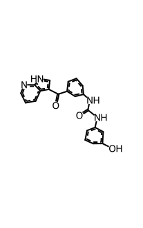 O=C(Nc1cccc(O)c1)Nc1cccc(C(=O)c2c[nH]c3ncccc23)c1